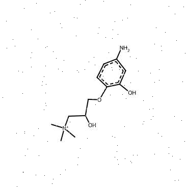 C[N+](C)(C)CC(O)COc1ccc(N)cc1O